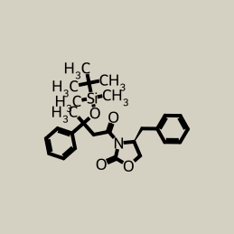 CC(CC(=O)N1C(=O)OC[C@@H]1Cc1ccccc1)(O[Si](C)(C)C(C)(C)C)c1ccccc1